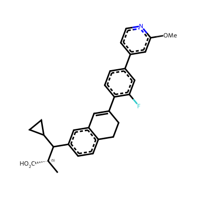 COc1cc(-c2ccc(C3=Cc4cc(C(C5CC5)[C@H](C)C(=O)O)ccc4CC3)c(F)c2)ccn1